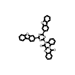 O=c1c2nc3ccccc3c(=O)n2c2ccccc2n1-c1nc(-c2ccc3c(c2)oc2ccccc23)nc(-c2ccc3c(c2)oc2ccccc23)n1